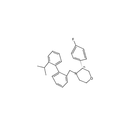 CC(C)c1ccccc1-c1ccccc1CN1CCOC[C@H]1c1ccc(F)cc1